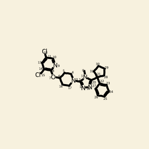 Cn1c(N2CCC(Oc3ncc(Cl)cc3Cl)CC2)nnc1C1(c2ccccc2)CCCC1